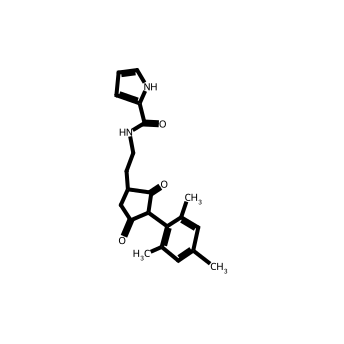 Cc1cc(C)c(C2C(=O)CC(CCNC(=O)c3ccc[nH]3)C2=O)c(C)c1